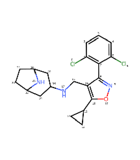 Clc1cccc(Cl)c1-c1noc(C2CC2)c1CNC1CC2CCC(C1)N2